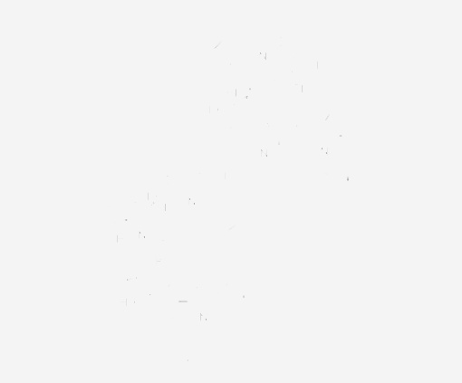 Cc1cccc(C)c1N1c2cc3c(cc2B2c4cc5c6ccccc6n6c5c(c4C(C)(C)c4cccc1c42)Oc1ccccc1-6)c1ccc(-c2cccc(N4c5cc6c(cc5B5c7cc8c9c(c7C(C)(C)c7cccc4c75)c4ccccc4n9-c4ccccc4C8(C)C)c4ccccc4n6-c4ccccc4)c2)cc1n3-c1c(C)cccc1C